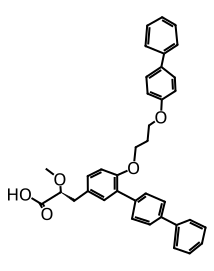 CO[C@@H](Cc1ccc(OCCCOc2ccc(-c3ccccc3)cc2)c(-c2ccc(-c3ccccc3)cc2)c1)C(=O)O